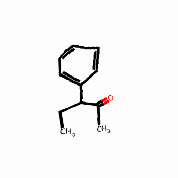 CCC(C(C)=O)c1cc[c]cc1